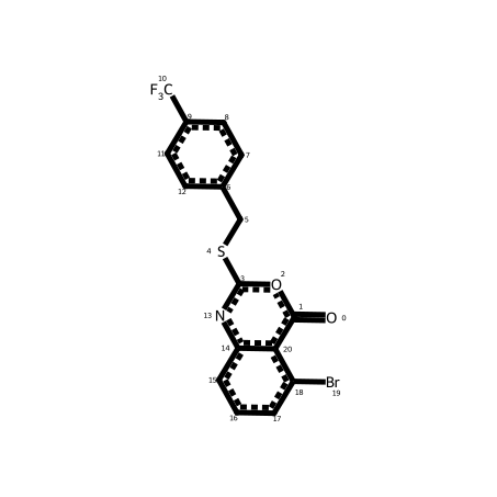 O=c1oc(SCc2ccc(C(F)(F)F)cc2)nc2cccc(Br)c12